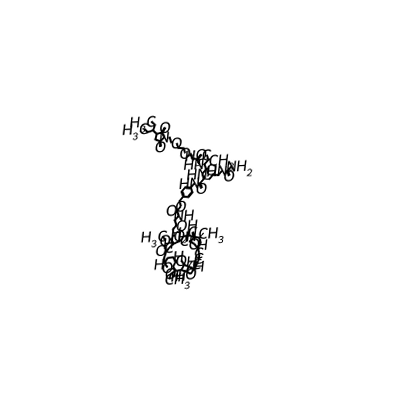 C=C1[C@@H](C)C[C@@H]2CCC[C@H]3OC4[C@@H]3C3O[C@H]5CC[C@H](CC(=O)C[C@@H]6C(OC)[C@@H](C[C@H](O)CNC(=O)OCc7ccc(NC(=O)[C@H](CCCNC(N)=O)NC(=O)[C@@H](NC(=O)CCOCCOCCN8C(=O)CC(C(CC)CC)C8=O)C(C)C)cc7)O[C@H]6C[C@H]1O2)OC5[C@H](OC)[C@@H]34